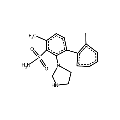 Cc1ccccc1-c1ccc(C(F)(F)F)c(S(N)(=O)=O)c1N1CCNC1